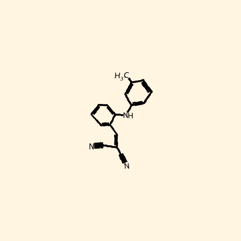 Cc1cccc(Nc2ccccc2C=C(C#N)C#N)c1